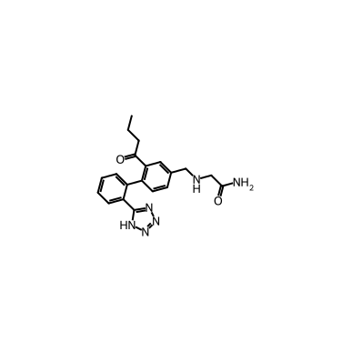 CCCC(=O)c1cc(CNCC(N)=O)ccc1-c1ccccc1-c1nnn[nH]1